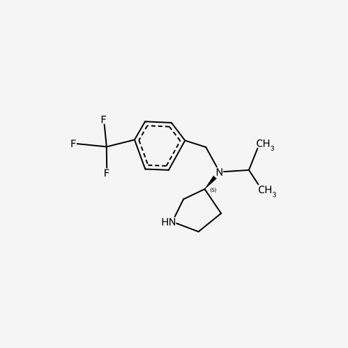 CC(C)N(Cc1ccc(C(F)(F)F)cc1)[C@H]1CCNC1